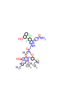 Cc1cc([C@H](C(=O)N2C[C@H](O)C[C@H]2C(=O)NCc2ccc(-c3scnc3C)cc2OCCN(C)C(=O)CCNc2nc(N3CCN(C(N)=O)CC3)c3cc(Cl)c(-c4cc(O)cc5ccccc45)c(F)c3n2)C(C)C)on1